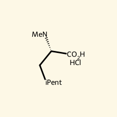 CCCC(C)C[C@H](NC)C(=O)O.Cl